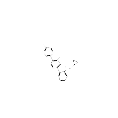 Nc1cnc(-c2ccc(-c3ccccc3[S+]([O-])NC3CC3)cc2F)cn1